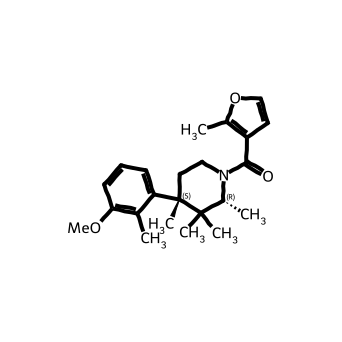 COc1cccc([C@]2(C)CCN(C(=O)c3ccoc3C)[C@H](C)C2(C)C)c1C